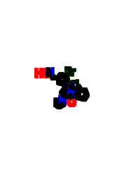 O=c1c(N2CCCC2)cc(-c2cc(Br)cc(C=NO)c2)nn1-c1ccccc1Cl